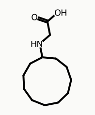 O=C(O)CNC1CCCCCCCCCC1